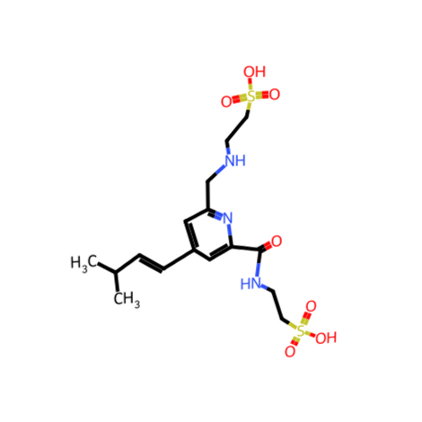 CC(C)/C=C/c1cc(CNCCS(=O)(=O)O)nc(C(=O)NCCS(=O)(=O)O)c1